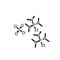 CC[P+](N(C)C)(N(C)C)N(C)C.CC[P+](N(C)C)(N(C)C)N(C)C.O=S(=O)([O-])[O-]